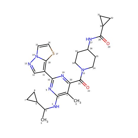 Cc1c(NC(C)C2CC2)nc(-c2cnn3ccsc23)nc1C(=O)N1CCC(NC(=O)C2CC2)CC1